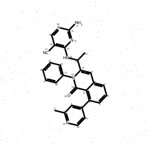 Cc1cc(-c2cccc3cc(C(C)Nc4nc(N)ncc4C#N)n(-c4ccccc4)c(=O)c23)ccn1